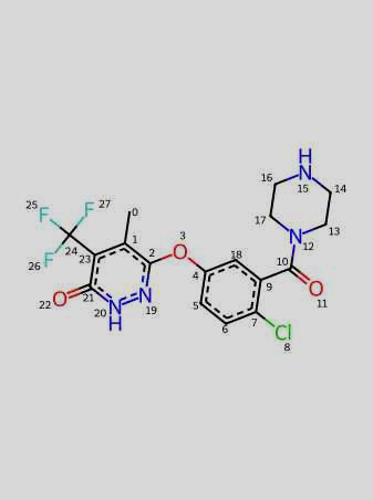 Cc1c(Oc2ccc(Cl)c(C(=O)N3CCNCC3)c2)n[nH]c(=O)c1C(F)(F)F